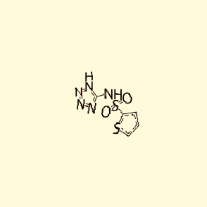 O=S(=O)(Nc1nnn[nH]1)c1cccs1